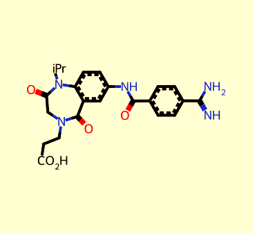 CC(C)N1C(=O)CN(CCC(=O)O)C(=O)c2cc(NC(=O)c3ccc(C(=N)N)cc3)ccc21